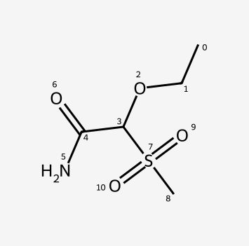 CCOC(C(N)=O)S(C)(=O)=O